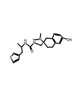 CC(Cc1ccsc1)NC(=O)NC[C@]1(N(C)C)CCc2cc(O)ccc2C1